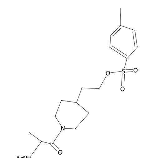 CC(=O)NC(C)C(=O)N1CCC(CCOS(=O)(=O)c2ccc(C)cc2)CC1